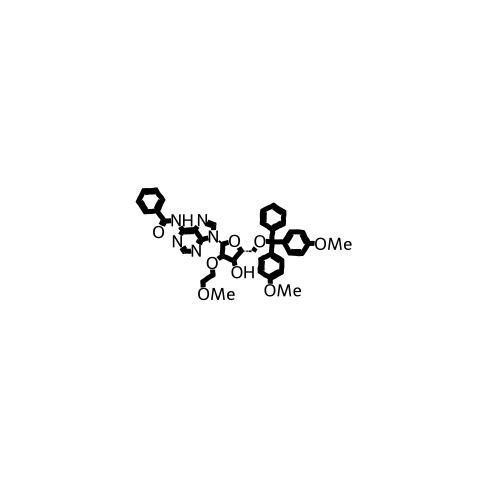 COCCOC1C(O)[C@@H](COC(c2ccccc2)(c2ccc(OC)cc2)c2ccc(OC)cc2)O[C@H]1n1cnc2c(NC(=O)c3ccccc3)ncnc21